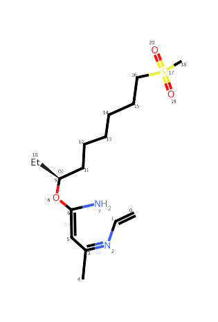 C=C/N=C(C)\C=C(/N)O[C@@H](CC)CCCCCCS(C)(=O)=O